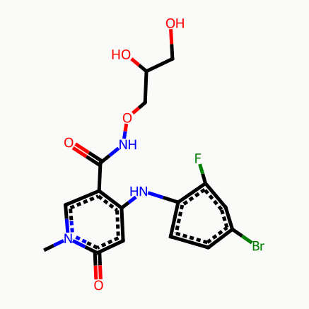 Cn1cc(C(=O)NOCC(O)CO)c(Nc2ccc(Br)cc2F)cc1=O